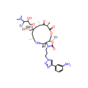 CCO[C@@H](O[C@@H]1[C@H](C)C(=O)[C@@H](C)C(=O)O[C@H](CC)[C@@]2(C)OC(=O)N(CCCn3cc(-c4cccc(N)c4)nn3)[C@@H]2[C@@H](C)NC[C@H](C)C[C@@]1(C)OC)C(O)C(CC)N(C)C